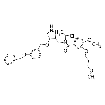 COCCCOc1cc(C(=O)N(CC2CNCC2OCc2cccc(OCc3ccccc3)c2)C(C)C)ccc1OC